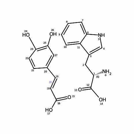 N[C@@H](Cc1c[nH]c2ccccc12)C(=O)O.O=C(O)/C=C/c1ccc(O)c(O)c1